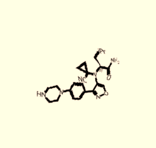 CC(C)C[C@@H](C(N)=O)N(c1conc1-c1ccc(N2CCNCC2)cc1)C1(C#N)CC1